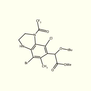 COC(=O)C(OC(C)(C)C)c1c(C)c(Br)c2c(c1Cl)N(C(=O)C(F)(F)F)CCN2